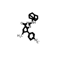 [C-]#[N+]c1ccc(C2C(C)=Cc3c2nc(NC24CC5CC(CC(C5)C2)C4)[nH]c3=O)cc1